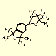 CC1(C)OC(C)(C)c2cc(B3OC(C)(C)C(C)(C)O3)ccc21